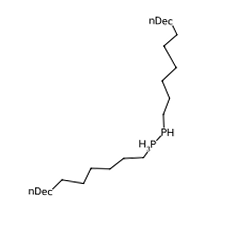 CCCCCCCCCCCCCCCCP[PH3]CCCCCCCCCCCCCCCC